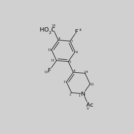 CC(=O)N1CC=C(c2cc(F)c(C(=O)O)cc2F)CC1